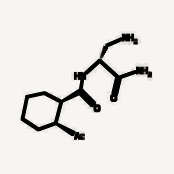 CC(=O)[C@H]1CCCC[C@H]1C(=O)N[C@H](CN)C(N)=O